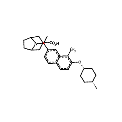 CC(c1ccc2ccc(O[C@H]3CC[C@@H](C)CC3)c(C(F)(F)F)c2c1)N1C2CCC1CC(C(=O)O)C2